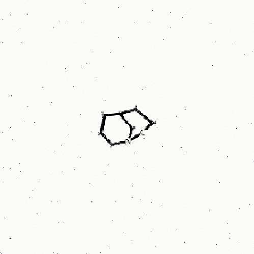 C1C[C]2CCCN(C1)C2